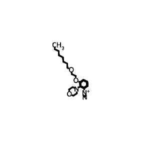 CCCCCCCCOCCOc1cccc([N+]#N)c1N1CCOCC1